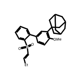 CCC=CS(=O)(=O)c1ccccc1-c1ccc(OC)c(C23CC4CC(CC(C4)C2)C3)c1